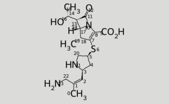 C/C(=C/[C@@H]1C[C@H](SC2=C(C(=O)O)N3C(=O)[C@H]([C@@H](C)O)[C@H]3[C@H]2C)CN1)CN